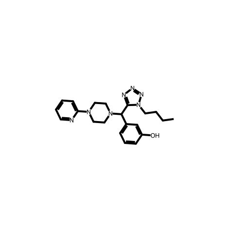 CCCCn1nnnc1C(c1cccc(O)c1)N1CCN(c2ccccn2)CC1